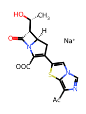 CC(=O)c1ncn2cc(C3=C(C(=O)[O-])N4C(=O)[C@H]([C@@H](C)O)[C@H]4C3)sc12.[Na+]